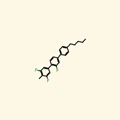 CCCCCc1ccc(-c2ccc(-c3cc(F)c(C)c(F)c3)c(F)c2)cc1